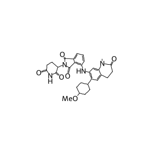 COC1CCC(c2cc3c(cc2Nc2cccc4c2C(=O)N(C2CCC(=O)NC2=O)C4=O)N(C)C(=O)CC3)CC1